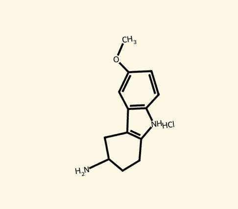 COc1ccc2[nH]c3c(c2c1)CC(N)CC3.Cl